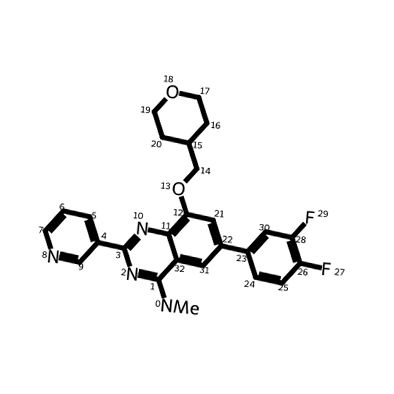 CNc1nc(-c2cccnc2)nc2c(OCC3CCOCC3)cc(-c3ccc(F)c(F)c3)cc12